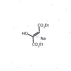 CCOC(=O)/C=C(\O)C(=O)OCC.[Na]